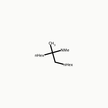 CCCCCCCC(C)(CCCCCC)NC